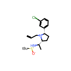 C=CCN1[C@@H](C(C)N[S@@+]([O-])C(C)(C)C)CC[C@H]1c1cccc(Cl)c1